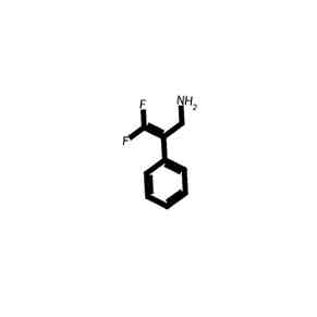 NCC(=C(F)F)c1ccccc1